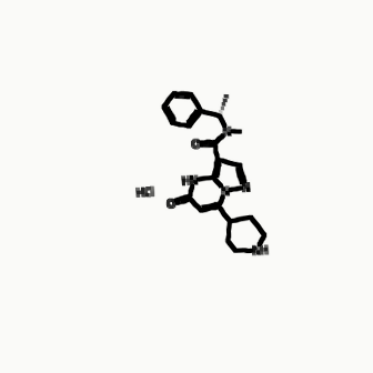 C[C@@H](c1ccccc1)N(C)C(=O)c1cnn2c(C3CCNCC3)cc(=O)[nH]c12.Cl